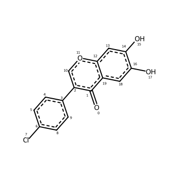 O=c1c(-c2ccc(Cl)cc2)coc2cc(O)c(O)cc12